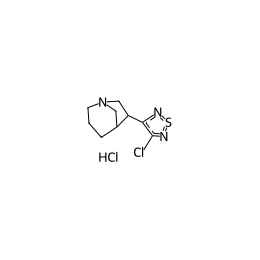 Cl.Clc1nsnc1C1CN2CCCC1C2